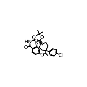 CC(Oc1ccc2c(=O)[nH]c(=O)[nH]c2c1)C1(c2ccc(Cl)cc2)CCN(C(=O)OC(C)(C)C)CC1